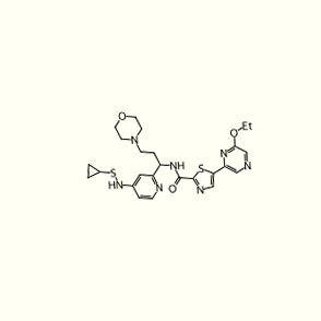 CCOc1cncc(-c2cnc(C(=O)NC(CCN3CCOCC3)c3cc(NSC4CC4)ccn3)s2)n1